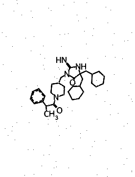 CC(C(=O)N1CCC(CN2C(=N)NC(CC3CCCCC3)(CC3CCCCC3)C2=O)CC1)c1ccccc1